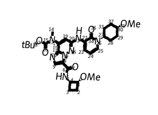 CO[C@@H]1CC[C@H]1NC(=O)c1cnc2c(N(C)C(=O)OC(C)(C)C)cc(Nc3cccn([C@H]4CC[C@H](OC)CC4)c3=O)nn12